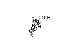 CN1CCN(C(=O)C2(C)COC(c3nc(-c4ccc(F)cc4)c(-c4ccnc(NCCC(=O)O)n4)[nH]3)OC2)CC1